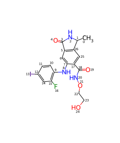 CC1NC(=O)c2cc(Nc3ccc(I)cc3F)c(C(=O)NOCCO)cc21